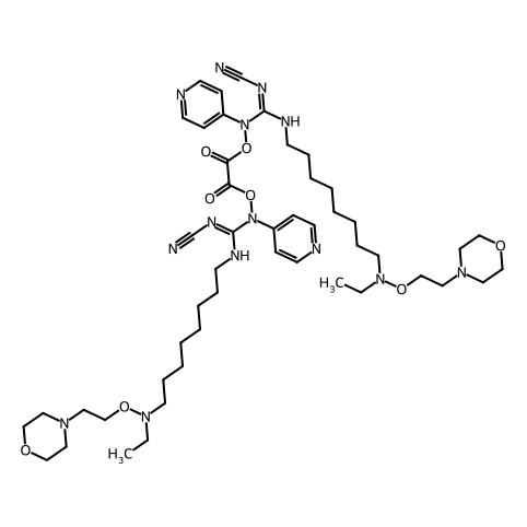 CCN(CCCCCCCCNC(=NC#N)N(OC(=O)C(=O)ON(C(=NC#N)NCCCCCCCCN(CC)OCCN1CCOCC1)c1ccncc1)c1ccncc1)OCCN1CCOCC1